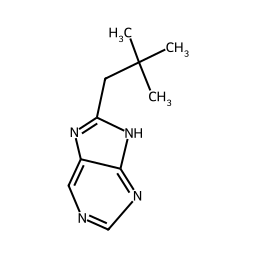 CC(C)(C)Cc1nc2cncnc2[nH]1